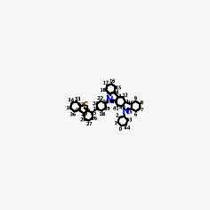 c1ccc(-n2c3ccccc3c3cc4c5ccccc5n(-c5ccc(-c6cccc7c6sc6ccccc67)cc5)c4cc32)cc1